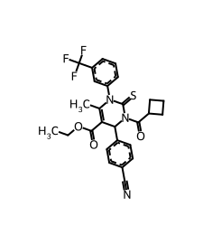 CCOC(=O)C1=C(C)N(c2cccc(C(F)(F)F)c2)C(=S)N(C(=O)C2CCC2)C1c1ccc(C#N)cc1